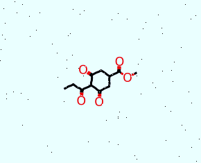 CCC(=O)C1C(=O)CC(C(=O)OC)CC1=O